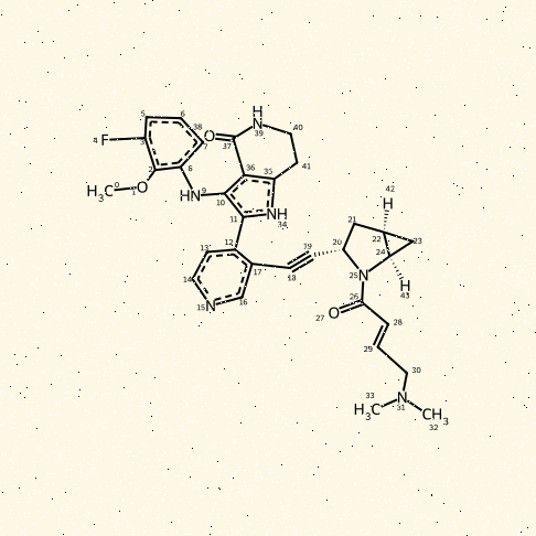 COc1c(F)cccc1Nc1c(-c2ccncc2C#C[C@@H]2C[C@H]3C[C@H]3N2C(=O)/C=C/CN(C)C)[nH]c2c1C(=O)NCC2